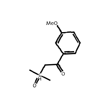 COc1cccc(C(=O)C[SH](C)(C)=O)c1